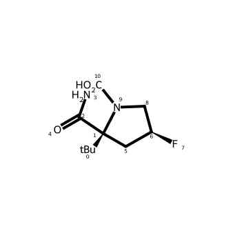 CC(C)(C)[C@]1(C(N)=O)C[C@H](F)CN1C(=O)O